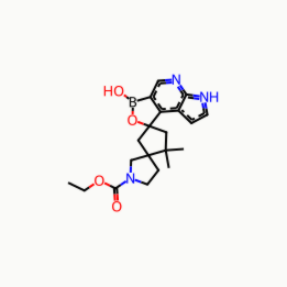 CCOC(=O)N1CCC2(C1)CC1(CC2(C)C)OB(O)c2cnc3[nH]ccc3c21